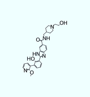 COc1ncccc1-c1cccc(-c2nc3ccc(C(=O)NCC4CCN(CCO)CC4)cc3[nH]2)c1O